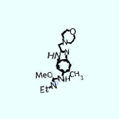 CC/N=C(/Nc1cc2[nH]c(CN3CCOCC3)nc2cc1C)OC